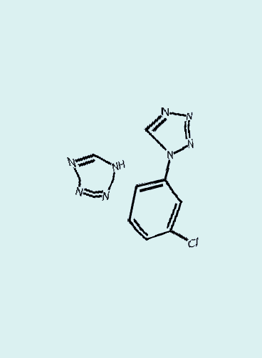 Clc1cccc(-n2cnnn2)c1.c1nnn[nH]1